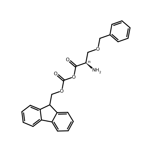 N[C@H](COCc1ccccc1)C(=O)OC(=O)OCC1c2ccccc2-c2ccccc21